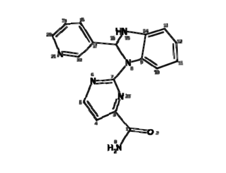 NC(=O)c1ccnc(N2c3ccccc3NC2c2cccnc2)n1